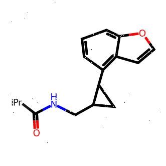 CC(C)C(=O)NCC1CC1c1cccc2occc12